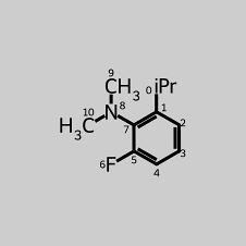 CC(C)c1cccc(F)c1N(C)C